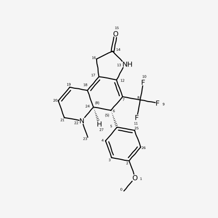 COc1ccc([C@H]2C(C(F)(F)F)=C3NC(=O)CC3=C3C=CCN(C)[C@@H]32)cc1